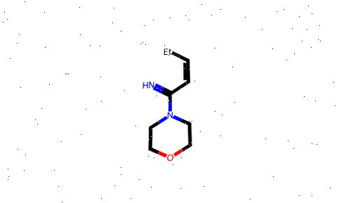 CC/C=C\C(=N)N1CCOCC1